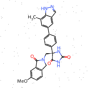 COc1ccc2c(c1)C(=O)N(C[C@@]1(c3ccc(-c4cc(C)c5[nH]ncc5c4)cc3)NC(=O)NC1=O)C2